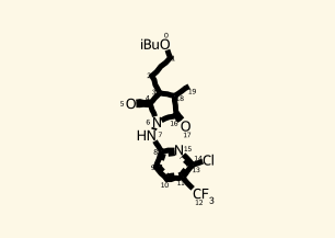 CC(C)COCCC1C(=O)N(Nc2ccc(C(F)(F)F)c(Cl)n2)C(=O)C1C